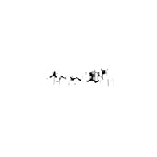 C=C(C)C(=O)OCCOC(=O)CCSCC(CC(C)NC=O)C(N)=O